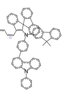 C=C/C=C\C1=C(N(c2ccc(-c3cccc4c3c3ccccc3n4-c3ccccc3)cc2)c2ccc3c(c2)C(C)(C)c2ccccc2-3)C2(c3ccccc31)c1ccccc1-c1ccccc12